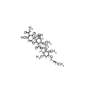 CC#CCOc1cc(C)c(CNC(=O)c2c(OC)cc(O)c3c2OC2=CC(O)=C(C(C)=O)C(=O)[C@]23C)c(C)c1C